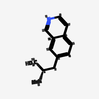 CN[C@@H](Cc1ccc2ccncc2c1)C(=O)O